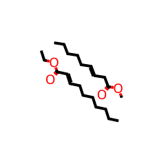 CCCCCC=CCC(=O)OC.CCCCCCCC=CC(=O)OCC